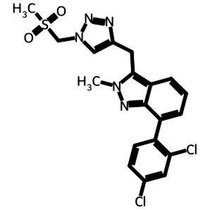 Cn1nc2c(-c3ccc(Cl)cc3Cl)cccc2c1Cc1cn(CS(C)(=O)=O)nn1